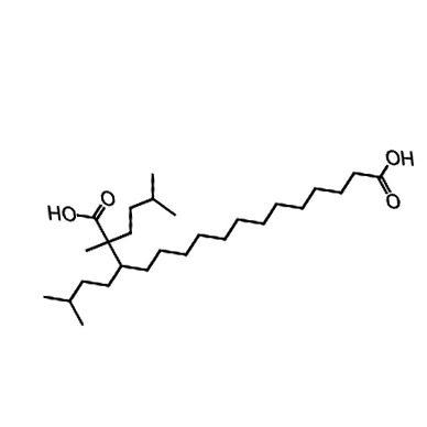 CC(C)CCC(CCCCCCCCCCCCC(=O)O)C(C)(CCC(C)C)C(=O)O